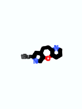 CC(C)(C)c1cc2c(cn1)Oc1cccnc1CC2